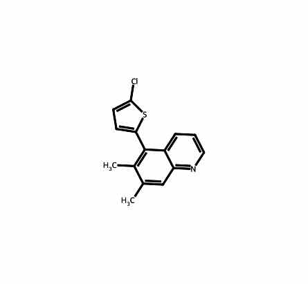 Cc1cc2ncccc2c(-c2ccc(Cl)s2)c1C